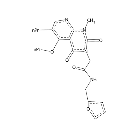 CCCOc1c(CCC)cnc2c1c(=O)n(CC(=O)NCc1ccco1)c(=O)n2C